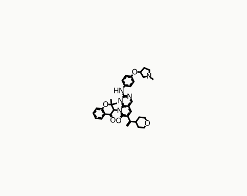 C=C(c1cc2cnc(Nc3ccc(OC4CCN(C)C4)cc3)nc2n(C2C(=O)c3ccccc3OC2(C)C)c1=O)C1CCOCC1